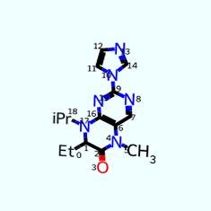 CCC1C(=O)N(C)c2cnc(-n3ccnc3)nc2N1C(C)C